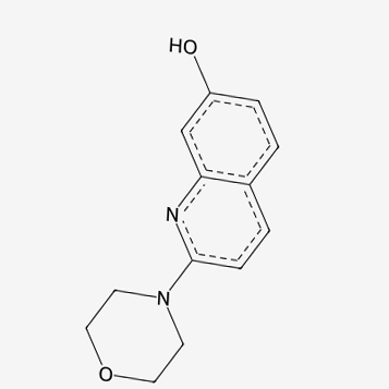 Oc1ccc2ccc(N3CCOCC3)nc2c1